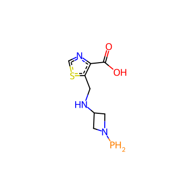 O=C(O)c1ncsc1CNC1CN(P)C1